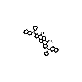 CN1c2cc(N(c3ccccc3)c3ccc4ccccc4c3)ccc2-c2ccc3c4c(ccc1c24)N(C)c1cc(N(c2ccccc2)c2ccc4ccccc4c2)ccc1-3